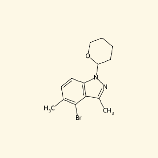 Cc1ccc2c(c(C)nn2C2CCCCO2)c1Br